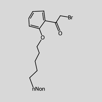 CCCCCCCCCCCCCCOc1ccccc1C(=O)CBr